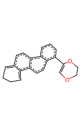 C1=C(c2cccc3c2ccc2c4c(ccc23)=CCCC=4)OCCO1